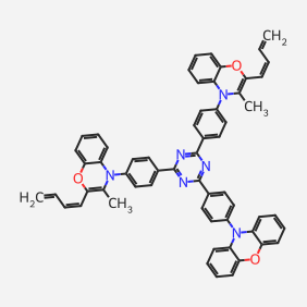 C=C/C=C\C1=C(C)N(c2ccc(-c3nc(-c4ccc(N5C(C)=C(/C=C\C=C)Oc6ccccc65)cc4)nc(-c4ccc(N5c6ccccc6Oc6ccccc65)cc4)n3)cc2)c2ccccc2O1